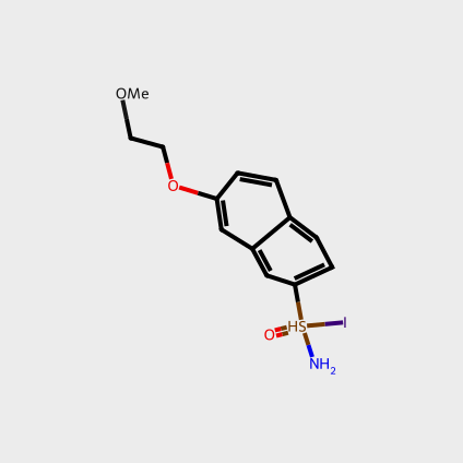 COCCOc1ccc2ccc([SH](N)(=O)I)cc2c1